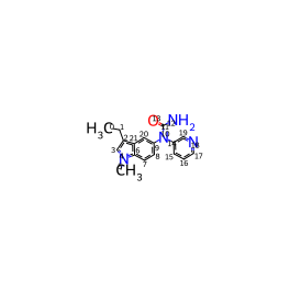 CCc1cn(C)c2ccc(N(C(N)=O)c3cccnc3)cc12